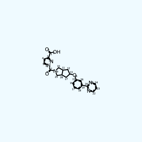 O=C(O)c1ccn(C(=O)N2CC3CC(Oc4cccc(-c5ncccn5)c4)CC3C2)n1